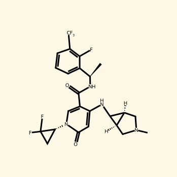 C[C@@H](NC(=O)c1cn([C@@H]2CC2(F)F)c(=O)cc1NC1[C@H]2CN(C)C[C@@H]12)c1cccc(C(F)(F)F)c1F